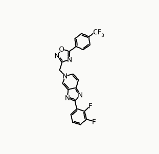 Fc1cccc(-c2nc3ccn(Cc4noc(-c5ccc(C(F)(F)F)cc5)n4)cc-3n2)c1F